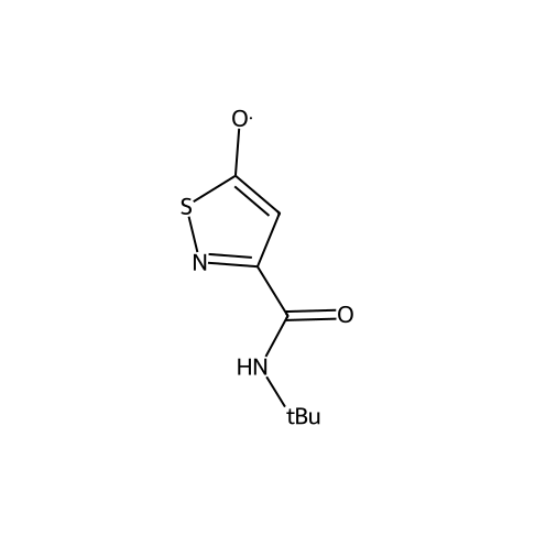 CC(C)(C)NC(=O)c1cc([O])sn1